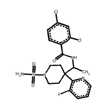 CC(NC(=O)c1ccc(Cl)cc1Cl)C1(c2ncccc2F)CCN(S(N)(=O)=O)CC1